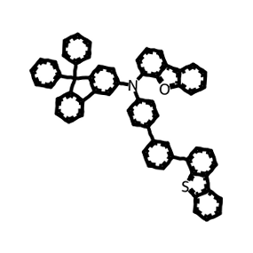 c1ccc(C2(c3ccccc3)c3ccccc3-c3cc(N(c4ccc(-c5cccc(-c6cccc7c6sc6ccccc67)c5)cc4)c4cccc5c4oc4ccccc45)ccc32)cc1